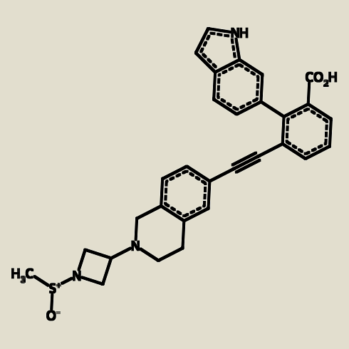 C[S+]([O-])N1CC(N2CCc3cc(C#Cc4cccc(C(=O)O)c4-c4ccc5cc[nH]c5c4)ccc3C2)C1